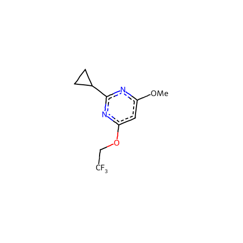 COc1cc(OCC(F)(F)F)nc(C2CC2)n1